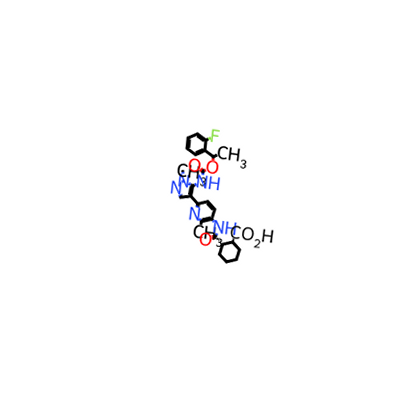 Cc1nc(-c2cnn(C)c2NC(=O)OC(C)c2ccccc2F)ccc1NC(=O)[C@H]1CCCC[C@@H]1C(=O)O